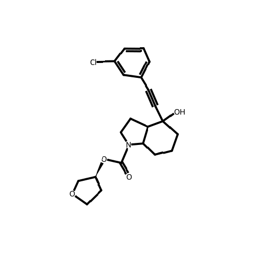 O=C(O[C@H]1CCOC1)N1CCC2C1CCCC2(O)C#Cc1cccc(Cl)c1